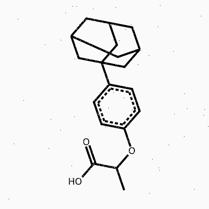 CC(Oc1ccc(C23CC4CC(CC(C4)C2)C3)cc1)C(=O)O